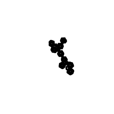 c1ccc(-c2ccc(N(c3ccc(-c4ccc5c(c4)c4ccccc4n5-c4cccc5c4oc4ccccc45)cc3)c3cccc4c3sc3ccccc34)cc2)cc1